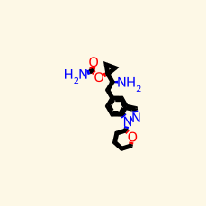 NC(=O)OC1([C@@H](N)Cc2ccc3c(cnn3C3CCCCO3)c2)CC1